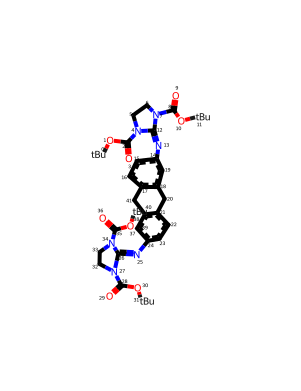 CC(C)(C)OC(=O)N1CCN(C(=O)OC(C)(C)C)C1=Nc1ccc2c(c1)Cc1ccc(N=C3N(C(=O)OC(C)(C)C)CCN3C(=O)OC(C)(C)C)cc1C2